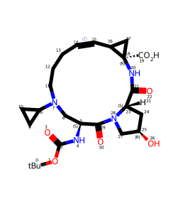 CC(C)(C)OC(=O)N[C@H]1CN(C2CC2)CCC/C=C\C2C[C@@]2(C(=O)O)NC(=O)[C@@H]2C[C@@H](O)CN2C1=O